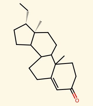 CC[C@H]1CCC2C3CCC4=CC(=O)CCC4(C)C3CC[C@@]21C